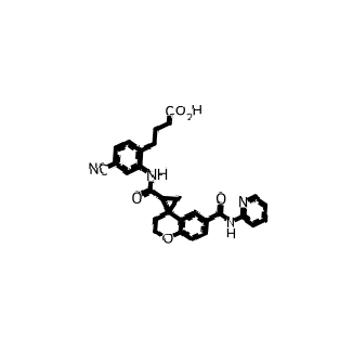 N#Cc1ccc(CCCC(=O)O)c(NC(=O)C2CC23CCOc2ccc(C(=O)Nc4ccccn4)cc23)c1